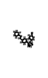 Fc1ccc(-c2scnc2-c2ccc(C=Cc3ccccc3)cc2)cc1